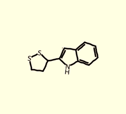 [c]1c(C2CCSS2)[nH]c2ccccc12